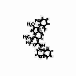 Cc1nn2c(N(C)C)c(C(=O)N[C@H]3CCOc4ccccc43)cnc2c1-c1c(F)cccc1F